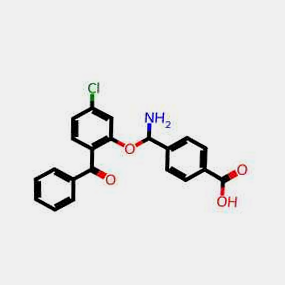 NC(Oc1cc(Cl)ccc1C(=O)c1ccccc1)c1ccc(C(=O)O)cc1